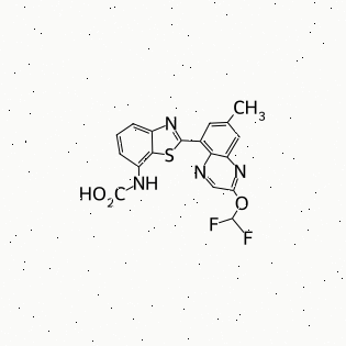 Cc1cc(-c2nc3cccc(NC(=O)O)c3s2)c2ncc(OC(F)F)nc2c1